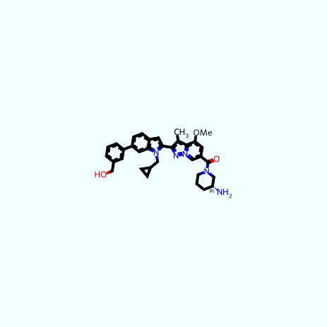 COc1cc(C(=O)N2CCC[C@@H](N)C2)cn2nc(-c3cc4ccc(-c5cccc(CO)c5)cc4n3CC3CC3)c(C)c12